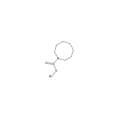 CC(C)OC(=O)N1CCCCCCC1